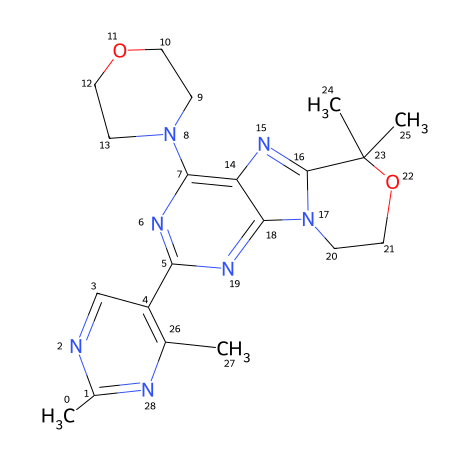 Cc1ncc(-c2nc(N3CCOCC3)c3nc4n(c3n2)CCOC4(C)C)c(C)n1